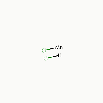 [Cl][Mn].[Li][Cl]